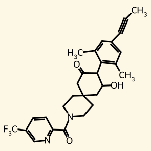 CC#Cc1cc(C)c(C2C(=O)CC3(CCN(C(=O)c4ccc(C(F)(F)F)cn4)CC3)CC2O)c(C)c1